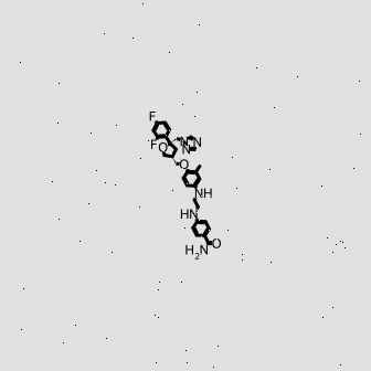 Cc1cc(NCCNc2ccc(C(N)=O)cc2)ccc1OC[C@@H]1CO[C@@](Cn2cncn2)(c2ccc(F)cc2F)C1